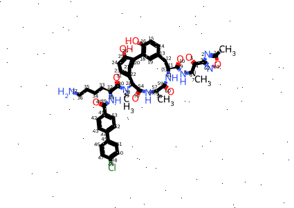 Cc1nc(C(=O)[C@H](C)NC(=O)[C@@H]2Cc3ccc(O)c(c3)-c3cc(ccc3O)[C@H](N(C)C(=O)[C@H](CCCCN)NC(=O)c3ccc(-c4ccc(Cl)cc4)cc3)C(=O)N[C@@H](C)C(=O)N2)no1